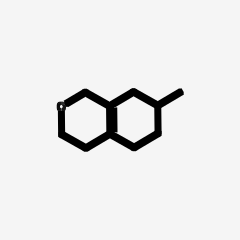 CC1CCC2=C(COCC2)C1